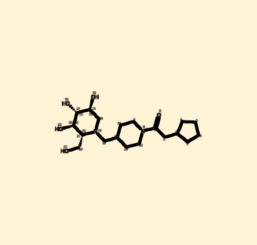 O=C(CC1CCCC1)N1CCC(CN2C[C@H](O)[C@@H](O)[C@H](O)[C@H]2CO)CC1